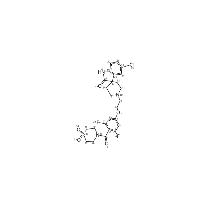 O=C(c1c(F)cc(OCCN2CCC3(CC2)C(=O)Nc2ccc(Cl)cc23)cc1F)N1CCS(=O)(=O)CC1